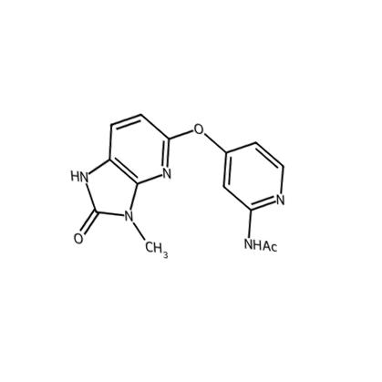 CC(=O)Nc1cc(Oc2ccc3[nH]c(=O)n(C)c3n2)ccn1